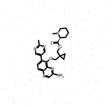 Cc1ncc(-c2ccc3ncc(N)nc3c2OCC2(COC(=O)[C@@H]3CCCCN3C)CC2)cn1